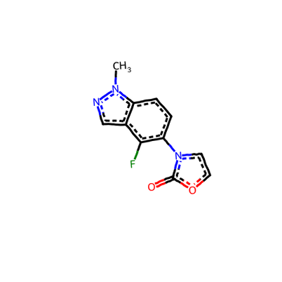 Cn1ncc2c(F)c(-n3ccoc3=O)ccc21